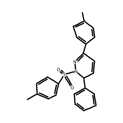 Cc1ccc(C2=NN(S(=O)(=O)c3ccc(C)cc3)C(c3ccccc3)C=C2)cc1